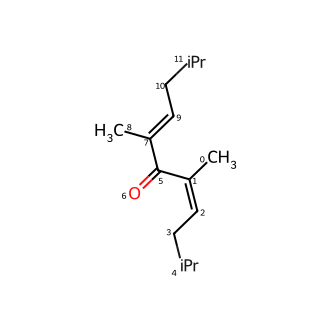 CC(=CCC(C)C)C(=O)C(C)=CCC(C)C